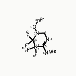 CCCON1CN=C(NC)[N+](F)(F)C1(F)F